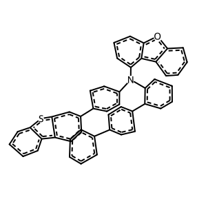 c1ccc(-c2ccc(-c3ccccc3N(c3ccc(-c4ccc5c(c4)sc4ccccc45)cc3)c3cccc4oc5ccccc5c34)cc2)cc1